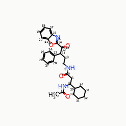 CC(=O)NC(CC(=O)NCCC(C(=O)c1nc2ccccc2o1)c1ccccc1)C1CCCCC1